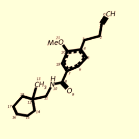 C#CCCc1ccc(C(=O)NCC2(C)CCCCC2)cc1OC